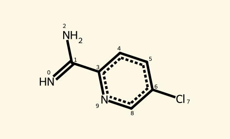 N=C(N)c1ccc(Cl)cn1